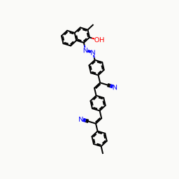 Cc1ccc(C(C#N)=Cc2ccc(C=C(C#N)c3ccc(N=Nc4c(O)c(C)cc5ccccc45)cc3)cc2)cc1